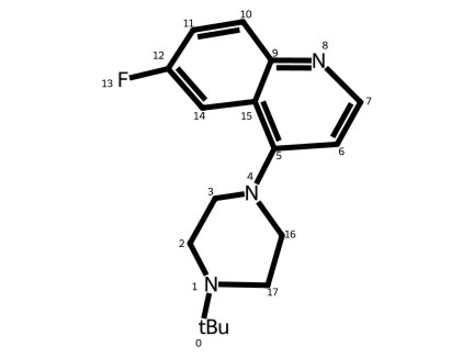 CC(C)(C)N1CCN(c2ccnc3ccc(F)cc23)CC1